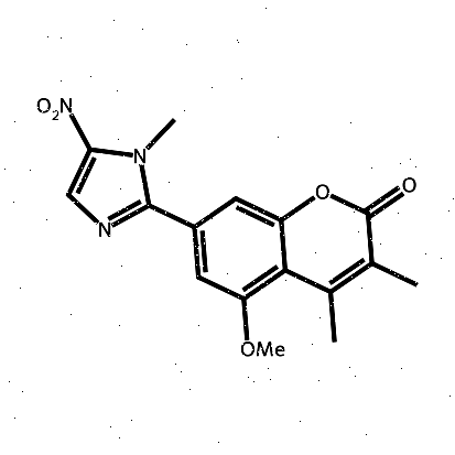 COc1cc(-c2ncc([N+](=O)[O-])n2C)cc2oc(=O)c(C)c(C)c12